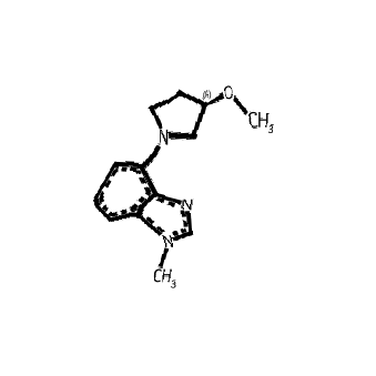 CO[C@@H]1CCN(c2cccc3c2ncn3C)C1